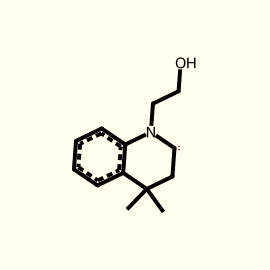 CC1(C)C[C]N(CCO)c2ccccc21